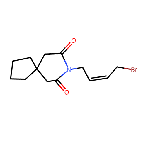 O=C1CC2(CCCC2)CC(=O)N1C/C=C\CBr